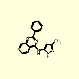 Cc1cc(Nc2nc(-c3ccccc3)nc3cnccc23)[nH]n1